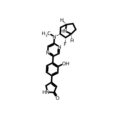 CN(c1cnc(-c2ccc(C3=CC(=O)NC3)cc2O)cn1)[C@@H]1C[C@H]2CC[C@H](N2)[C@@H]1F